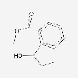 COC=O.OC1CCc2ccccc21